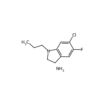 CCCN1CCc2cc(F)c(Cl)cc21.N